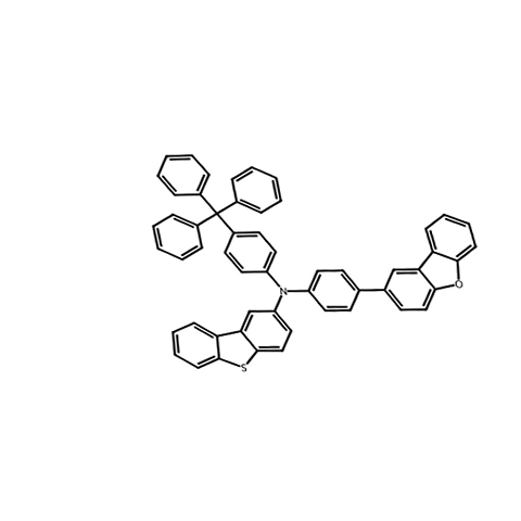 c1ccc(C(c2ccccc2)(c2ccccc2)c2ccc(N(c3ccc(-c4ccc5oc6ccccc6c5c4)cc3)c3ccc4sc5ccccc5c4c3)cc2)cc1